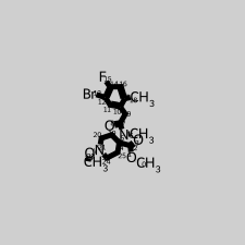 COC(=O)C1(N(C)C(=O)Cc2cc(Br)c(F)cc2C)CCN(OC)CC1